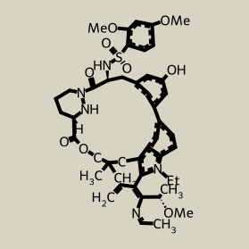 C=C/C(=C(\N=C/C)[C@H](C)OC)c1c2c3cc(ccc3n1CC)-c1cc(O)cc(c1)C[C@H](NS(=O)(=O)c1ccc(OC)cc1OC)C(=O)N1CCC[C@H](N1)C(=O)OCC(C)(C)C2